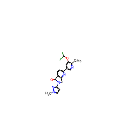 COc1ncc(-c2ccc3c(n2)CN(c2ccn(C)n2)C3=O)cc1OC(F)F